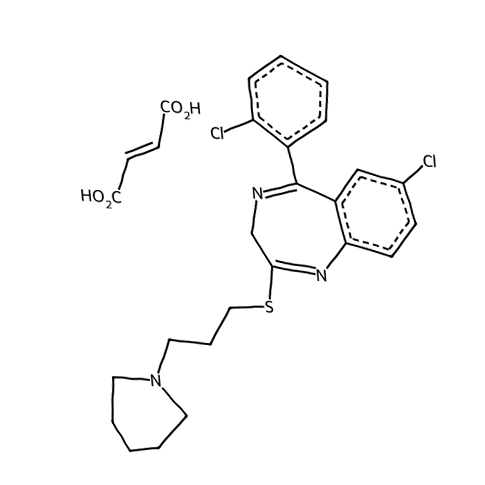 Clc1ccc2c(c1)C(c1ccccc1Cl)=NCC(SCCCN1CCCCC1)=N2.O=C(O)C=CC(=O)O